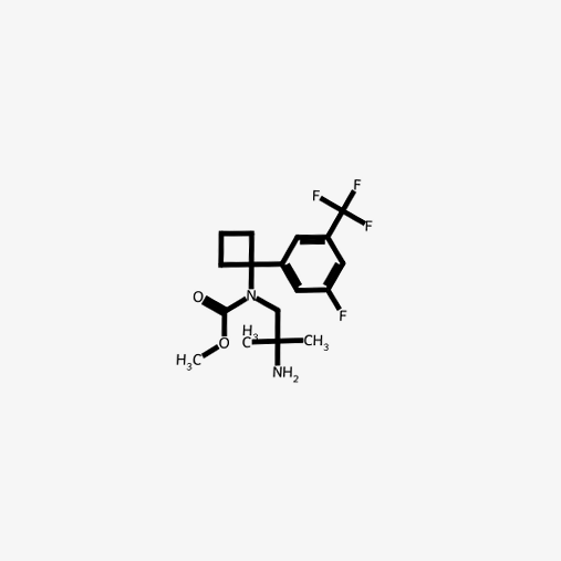 COC(=O)N(CC(C)(C)N)C1(c2cc(F)cc(C(F)(F)F)c2)CCC1